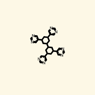 c1ncc(C2CC(c3cncnc3)CC(C3CC(c4cncnc4)CC(c4cncnc4)C3)C2)cn1